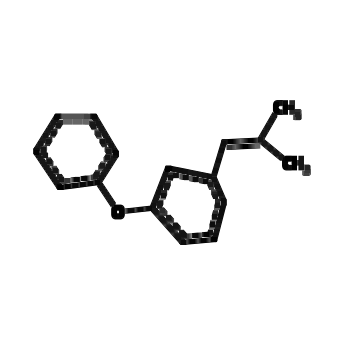 CC(C)=Cc1cccc(Oc2ccccc2)c1